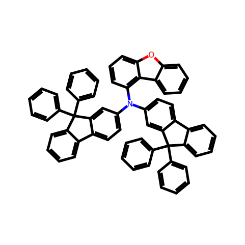 c1ccc(C2(c3ccccc3)c3ccccc3-c3ccc(N(c4ccc5c(c4)C(c4ccccc4)(c4ccccc4)c4ccccc4-5)c4cccc5oc6ccccc6c45)cc32)cc1